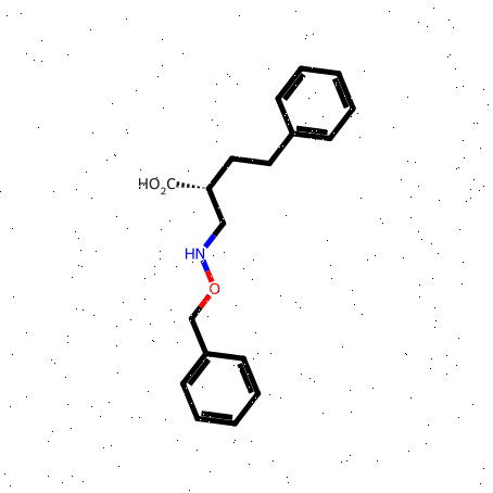 O=C(O)[C@H](CCc1ccccc1)CNOCc1ccccc1